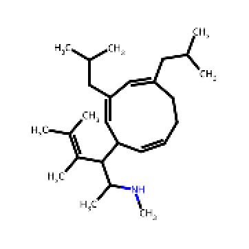 CNC(C)C(C(C)=C(C)C)C1/C=C\CC/C(CC(C)C)=C\C(CC(C)C)=C/1